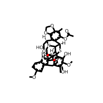 COc1ccc2[nH]c3c(c2c1)C[C@@H](CO)N[C@]31CS[C@@H]2c3c(OC(C)=O)c(C)c4c(c3[C@H](COC1=O)N1[C@@H]2C2c3c(cc(C)c(OC)c3O)C[C@@H]([C@@H]1O)N2C)OCO4